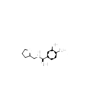 N=C(NCC1CCCO1)c1ccc(N)c(O)c1